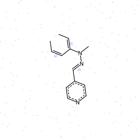 C/C=C\C(=C/C)N(C)/N=C/c1ccncc1